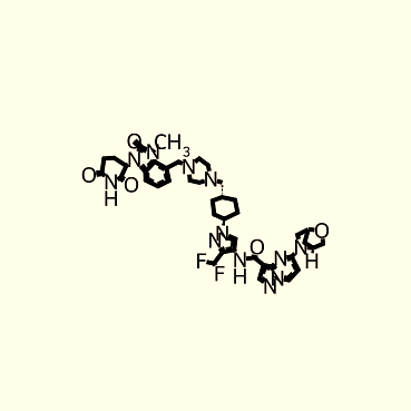 Cn1c(=O)n(C2CCC(=O)NC2=O)c2cccc(CN3CCN(C[C@H]4CC[C@H](n5cc(NC(=O)c6cnn7ccc(N8CC9C[C@@H]8CO9)nc67)c(C(F)F)n5)CC4)CC3)c21